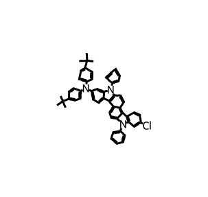 CC(C)(C)c1ccc(N(c2ccc(C(C)(C)C)cc2)c2ccc3c4c5ccc6c(c5ccc4n(-c4ccccc4)c3c2)c2ccc(Cl)cc2n6-c2ccccc2)cc1